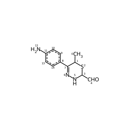 CC1SC(C=O)NN=C1c1ccc(N)cc1